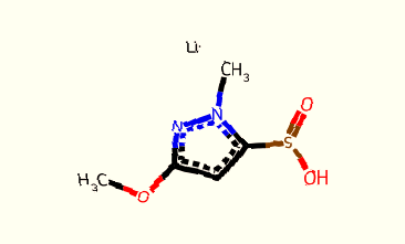 COc1cc(S(=O)O)n(C)n1.[Li]